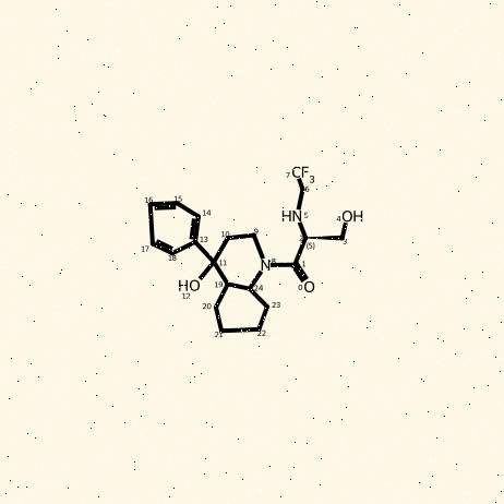 O=C([C@H](CO)NCC(F)(F)F)N1CCC(O)(c2ccccc2)C2CCCCC21